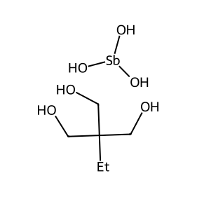 CCC(CO)(CO)CO.[OH][Sb]([OH])[OH]